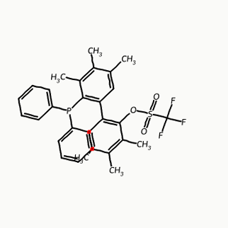 Cc1cc(-c2cc(C)c(C)c(C)c2P(c2ccccc2)c2ccccc2)c(OS(=O)(=O)C(F)(F)F)c(C)c1C